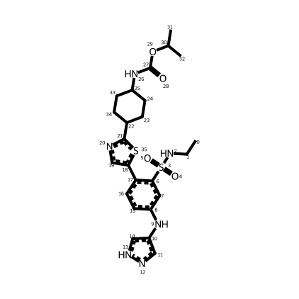 CCNS(=O)(=O)c1cc(Nc2cn[nH]c2)ccc1-c1cnc(C2CCC(NC(=O)OC(C)C)CC2)s1